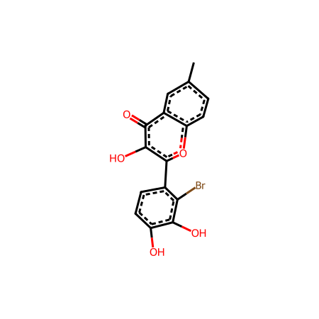 Cc1ccc2oc(-c3ccc(O)c(O)c3Br)c(O)c(=O)c2c1